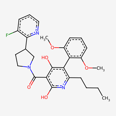 CCCCc1nc(O)c(C(=O)N2CCC(c3ncccc3F)C2)c(O)c1-c1c(OC)cccc1OC